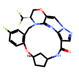 O=C1N[C@H]2CC[C@H](C2)Oc2ccc(F)cc2CN2c3nc4c1cnn4cc3OC[C@H]2C(F)F